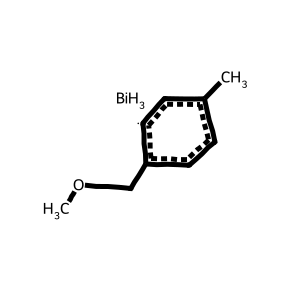 COCc1[c]cc(C)cc1.[BiH3]